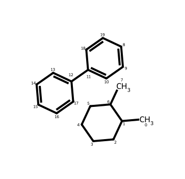 CC1CCCCC1C.c1ccc(-c2ccccc2)cc1